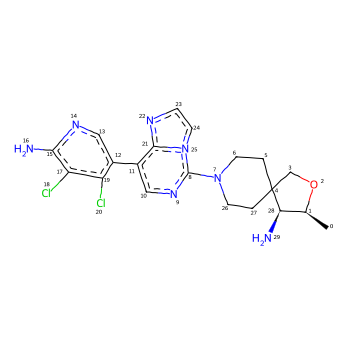 C[C@@H]1OCC2(CCN(c3ncc(-c4cnc(N)c(Cl)c4Cl)c4nccn34)CC2)[C@@H]1N